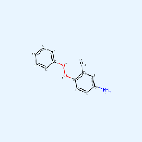 Nc1ccc(OOc2ccccc2)c(C(F)(F)F)c1